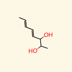 C/C=C/C=C/C(O)C(C)O